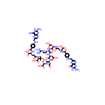 CC(C)(SSC[C@H](NC(=O)[C@H](CC=O)NC(=O)[C@H](CC(=O)O)NC(=O)[C@H](CCCNC(=N)N)NC(=O)[C@H](CC(=O)O)NC(=O)CC[C@H](NC(=O)c1ccc(NCc2cnc3nc(N)[nH]c(=O)c3n2)cc1)C(=O)O)C(=O)O)[C@H](NC(=O)CC[C@H](NC(=O)c1ccc(NCc2cnc3nc(N)[nH]c(=N)c3n2)cc1)C(=O)O)C(=O)O